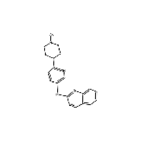 CC(=O)N1CCN(c2ccc(Nc3ncc4ccccc4n3)cn2)CC1